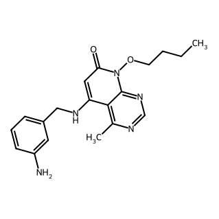 CCCCOn1c(=O)cc(NCc2cccc(N)c2)c2c(C)ncnc21